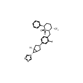 O=S1(=O)[C@@H](c2ccccc2)CC[C@H](C(F)(F)F)N1Cc1ccc(N2CC3[C@H](C2)[C@H]3n2cnnc2)cc1F